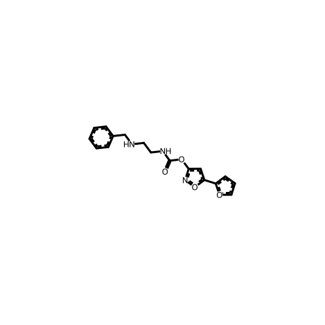 O=C(NCCNCc1ccccc1)Oc1cc(-c2ccco2)on1